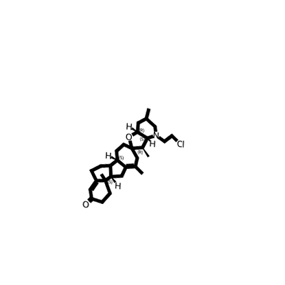 CC1=C2C[C@H]3C(CCC4=CC(=O)CCC43C)[C@@H]2CCC2(C1)O[C@@H]1CC(C)CN(CCCl)[C@H]1[C@H]2C